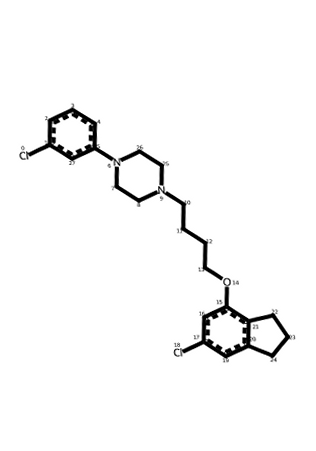 Clc1cccc(N2CCN(CCCCOc3cc(Cl)cc4c3CCC4)CC2)c1